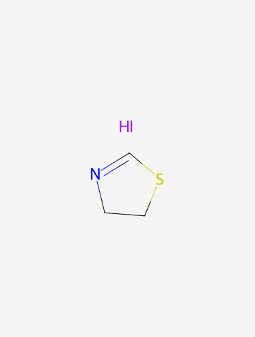 C1=NCCS1.I